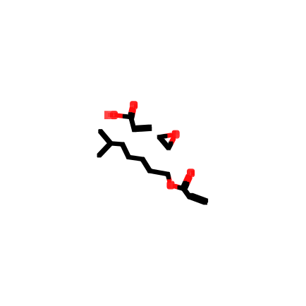 C1CO1.C=CC(=O)O.C=CC(=O)OCCCCCC(C)C